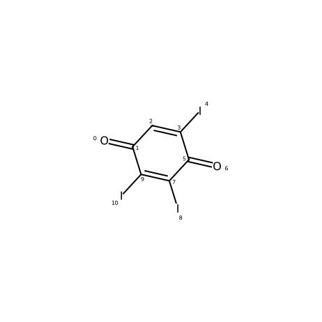 O=C1C=C(I)C(=O)C(I)=C1I